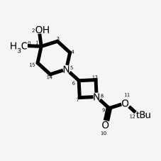 CC1(O)CCN(C2CN(C(=O)OC(C)(C)C)C2)CC1